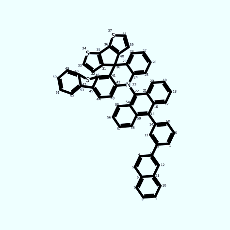 c1cc(-c2ccc3ccccc3c2)cc(-c2c3ccccc3c(N3c4ccccc4C4(c5ccsc5-c5sccc54)c4c3ccc3c4sc4ccccc43)c3ccccc23)c1